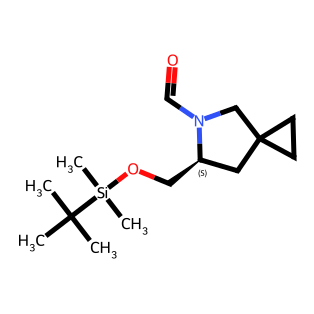 CC(C)(C)[Si](C)(C)OC[C@@H]1CC2(CC2)CN1C=O